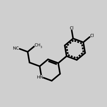 CC(C#N)CC1C=C(c2ccc(Cl)c(Cl)c2)CCN1